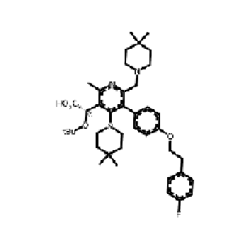 Cc1nc(CN2CCC(C)(C)CC2)c(-c2ccc(OCCc3ccc(F)cc3)cc2)c(N2CCC(C)(C)CC2)c1[C@H](OC(C)(C)C)C(=O)O